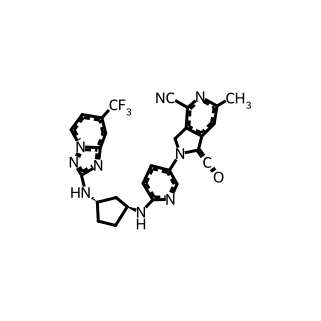 Cc1cc2c(c(C#N)n1)CN(c1ccc(N[C@H]3CC[C@H](Nc4nc5cc(C(F)(F)F)ccn5n4)C3)nc1)C2=C=O